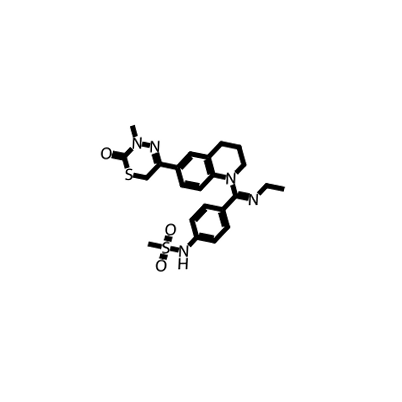 CC/N=C(/c1ccc(NS(C)(=O)=O)cc1)N1CCCc2cc(C3=NN(C)C(=O)SC3)ccc21